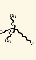 NCCCCCCCC(COCCO)(COCCO)COCCO